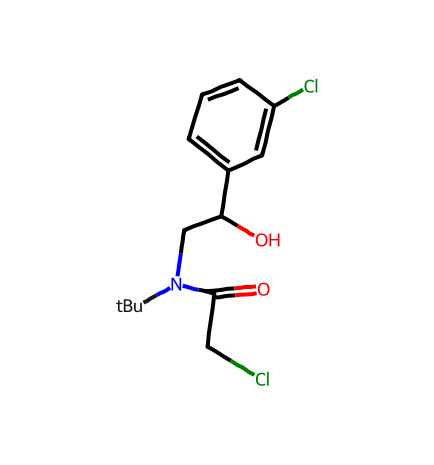 CC(C)(C)N(CC(O)c1cccc(Cl)c1)C(=O)CCl